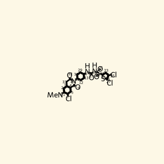 CNc1cc2c(cc1Cl)C(=O)N(c1ccc(NC(=O)NS(=O)(=O)c3cc(Cl)c(Cl)s3)cc1)C(=O)C2